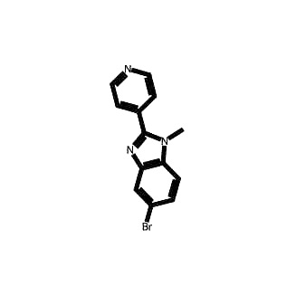 Cn1c(-c2ccncc2)nc2cc(Br)ccc21